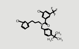 CC(C)(C)c1ccc(CN(CCCc2cccc(Cl)c2)C(=O)c2cc(Cl)cc(C(F)(F)F)c2)cc1